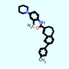 Cc1ccc(-c2ccc3c(c2)C=C(C(=O)Nc2ccc(N4CCCCC4)cc2C)CCC3)cc1